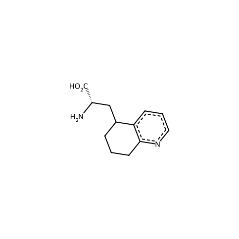 N[C@@H](CC1CCCc2ncccc21)C(=O)O